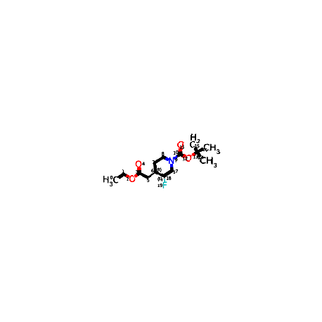 CCOC(=O)C[C@H]1CCN(C(=O)OC(C)(C)C)C[C@@H]1F